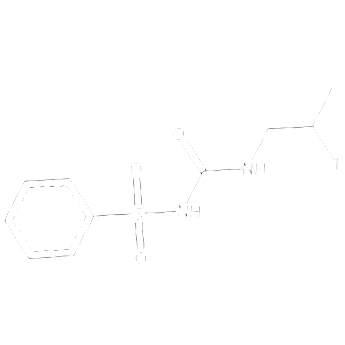 CC(I)CNC(=O)NS(=O)(=O)c1ccccc1